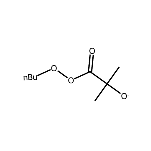 CCCCOOC(=O)C(C)(C)[O]